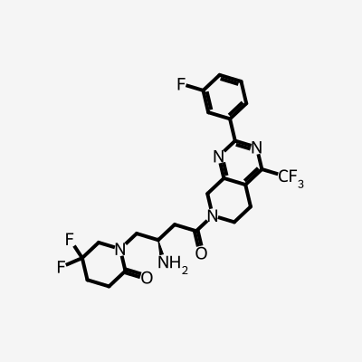 N[C@H](CC(=O)N1CCc2c(nc(-c3cccc(F)c3)nc2C(F)(F)F)C1)CN1CC(F)(F)CCC1=O